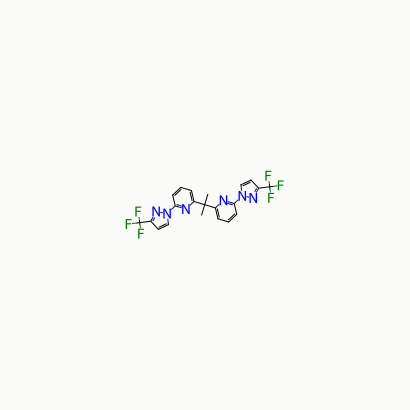 CC(C)(c1cccc(-n2ccc(C(F)(F)F)n2)n1)c1cccc(-n2ccc(C(F)(F)F)n2)n1